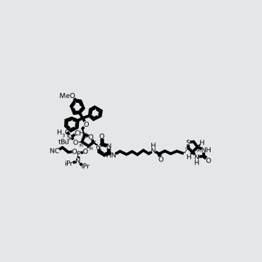 COc1ccc(C(OC[C@H]2O[C@@H](n3ccc(NCCCCCCNC(=O)CCCC[C@@H]4SC[C@@H]5NC(=O)N[C@@H]54)nc3=O)[C@H](OP(OCCC#N)N(C(C)C)C(C)C)[C@@H]2O[Si](C)(C)C(C)(C)C)(c2ccccc2)c2ccccc2)cc1